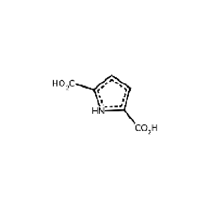 O=C(O)c1ccc(C(=O)O)[nH]1